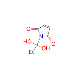 CCC(O)(O)N1C(=O)C=CC1=O